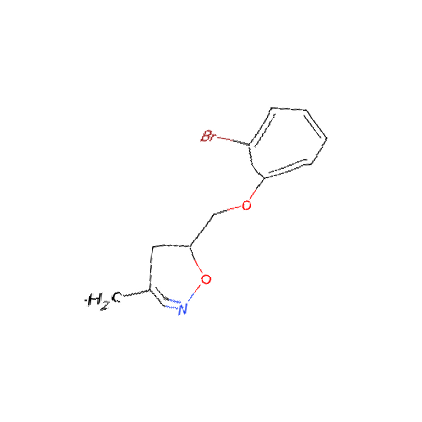 [CH2]C1=NOC(COc2ccccc2Br)C1